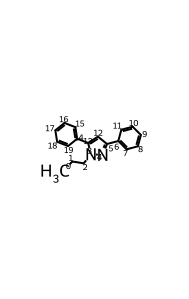 CCCn1nc(-c2ccccc2)cc1-c1ccccc1